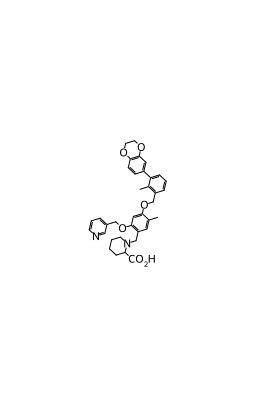 Cc1cc(CN2CCCCC2C(=O)O)c(OCc2cccnc2)cc1OCc1cccc(-c2ccc3c(c2)OCCO3)c1C